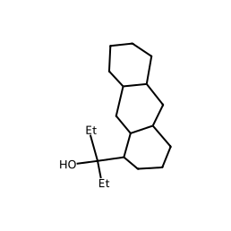 CCC(O)(CC)C1CCCC2CC3CCCCC3CC21